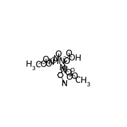 CCOC(=O)ON1CCN(C(=O)[C@H](CCC(=O)O)NC(=O)c2cc(OC3(C(=O)OCC)CCC3)n(-c3cccc(C#N)c3)n2)CC1